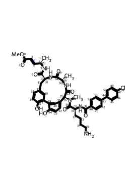 COC(=O)/C=C/[C@H](C)NC(=O)[C@@H]1Cc2ccc(O)c(c2)-c2cc(ccc2O)[C@H](N(C)C(=O)[C@H](CCCCN)NC(=O)c2ccc(-c3ccc(Cl)cc3)cc2)C(=O)N[C@@H](C)C(=O)N1